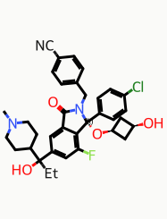 CCC(O)(c1cc(F)c2c(c1)C(=O)N(Cc1ccc(C#N)cc1)[C@@]2(O[C@H]1C[C@@H](O)C1)c1ccc(Cl)cc1)C1CCN(C)CC1